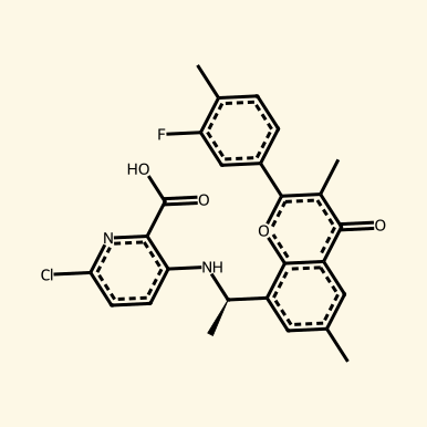 Cc1cc([C@@H](C)Nc2ccc(Cl)nc2C(=O)O)c2oc(-c3ccc(C)c(F)c3)c(C)c(=O)c2c1